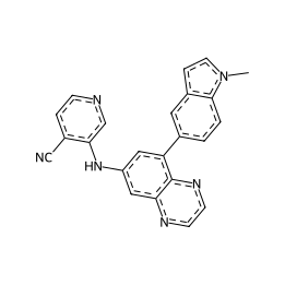 Cn1ccc2cc(-c3cc(Nc4cnccc4C#N)cc4nccnc34)ccc21